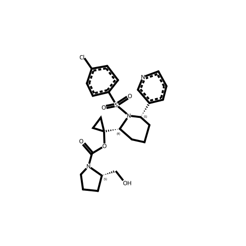 O=C(OC1([C@H]2CCC[C@@H](c3cccnc3)N2S(=O)(=O)c2ccc(Cl)cc2)CC1)N1CCC[C@H]1CO